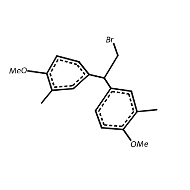 COc1ccc(C(CBr)c2ccc(OC)c(C)c2)cc1C